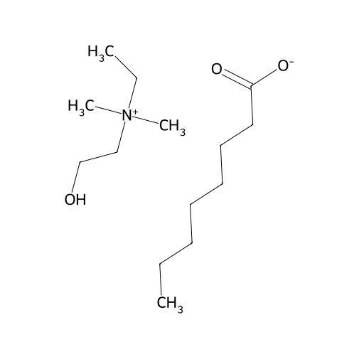 CCCCCCCC(=O)[O-].CC[N+](C)(C)CCO